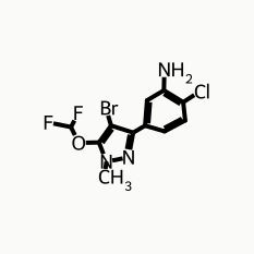 Cn1nc(-c2ccc(Cl)c(N)c2)c(Br)c1OC(F)F